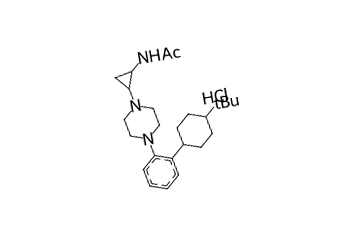 CC(=O)NC1CC1N1CCN(c2ccccc2C2CCC(C(C)(C)C)CC2)CC1.Cl